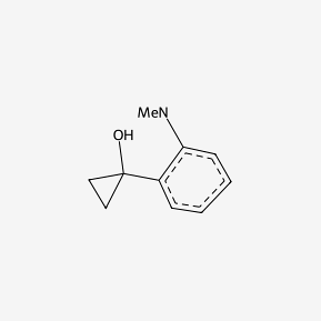 CNc1ccccc1C1(O)CC1